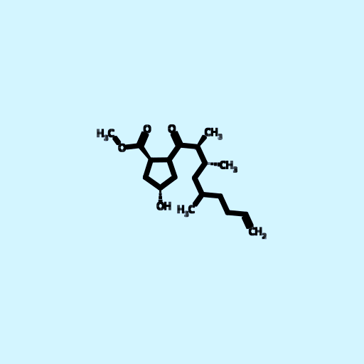 C=CCCC(C)C[C@@H](C)[C@H](C)C(=O)C1C[C@H](O)C[C@H]1C(=O)OC